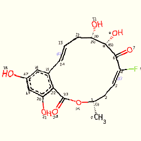 C[C@H]1C/C=C(/F)C(=O)[C@@H](O)[C@@H](O)C/C=C/c2cc(O)cc(O)c2C(=O)O1